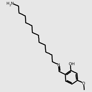 COc1ccc(C=NCCCCCCCCCCCCN)c(O)c1